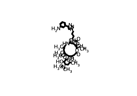 CC[C@H]1OC(=O)CC(=O)[C@H](C)[C@@H](O[C@@H]2OC(C)CC(N(C)C)C2O)[C@](C)(OC)C[C@@H](C)CN[C@H](C)[C@H]2N(CCCCn3cc(-c4cccc(N)c4)nn3)C(=O)O[C@]12C